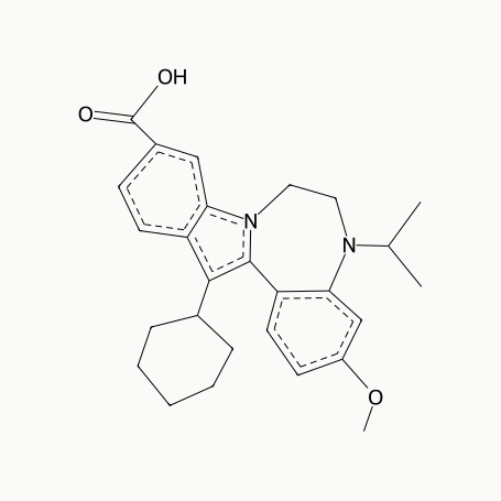 COc1ccc2c(c1)N(C(C)C)CCn1c-2c(C2CCCCC2)c2ccc(C(=O)O)cc21